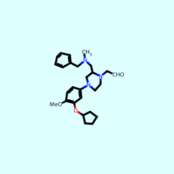 COc1ccc(N2CCN(CC=O)C(CN(C)Cc3ccccc3)C2)cc1OC1CCCC1